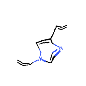 C=Cc1cn(C=C)cn1